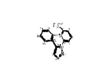 FC(F)(F)c1cccc(-n2nncc2-c2ccccc2)n1